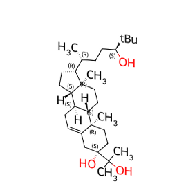 C[C@H](CC[C@H](O)C(C)(C)C)[C@H]1CC[C@H]2[C@@H]3CC=C4C[C@](O)(C(C)(C)O)CC[C@]4(C)[C@H]3CC[C@]12C